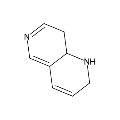 C1=CC2=CN=CCC2NC1